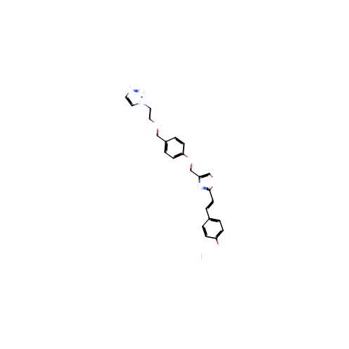 FC(F)(F)Oc1ccc(C=Cc2nc(COc3ccc(COCCn4ccnn4)cc3)co2)cc1